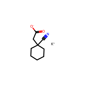 N#CC1(CC(=O)[O-])CCCCC1.[K+]